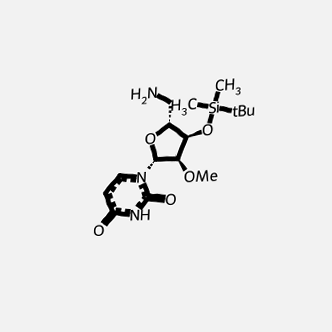 CO[C@@H]1[C@H](O[Si](C)(C)C(C)(C)C)[C@@H](CN)O[C@H]1n1ccc(=O)[nH]c1=O